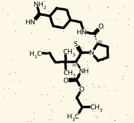 CCCC(C)(C)[C@H](NC(=O)OCC(C)C)C(=S)N1CCC[C@H]1C(=O)NCC1CCC(C(=N)N)CC1